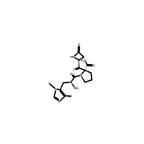 NC(=O)[C@]1(C(=O)[C@@H]2CC(=O)N2)CCCN1C(=O)[C@@H](N)Cc1c(I)ncn1I